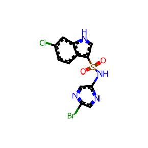 O=S(=O)(Nc1cnc(Br)cn1)c1c[nH]c2cc(Cl)ccc12